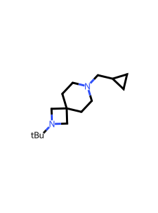 CC(C)(C)N1CC2(CCN(CC3CC3)CC2)C1